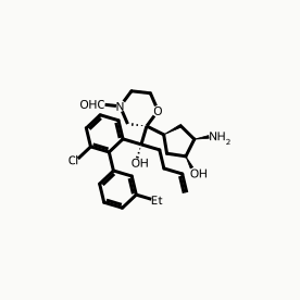 C=CCC[C@@](O)(c1cccc(Cl)c1-c1cccc(CC)c1)[C@@]1([C@H]2C[C@@H](N)[C@@H](O)C2)CN(C=O)CCO1